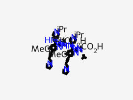 C=C(C)C.COc1cc2c(NC3CCN(C(C)C)CC3)nc(N(C)C(C(=O)O)C(C)(C)C)nc2cc1C#CCCN1CCCC1.COc1cc2c(NC3CCN(C(C)C)CC3)nc(N(C)CC(=O)O)nc2cc1C#CCCN1CCCC1